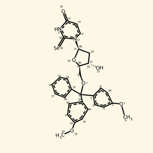 COc1ccc(C(OC[C@H]2O[C@@H](n3ccc(=O)[nH]c3=[Se])C[C@@H]2O)(c2ccccc2)c2ccc(OC)cc2)cc1